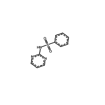 O=S(=O)(Nc1ncccn1)c1c[c]ccc1